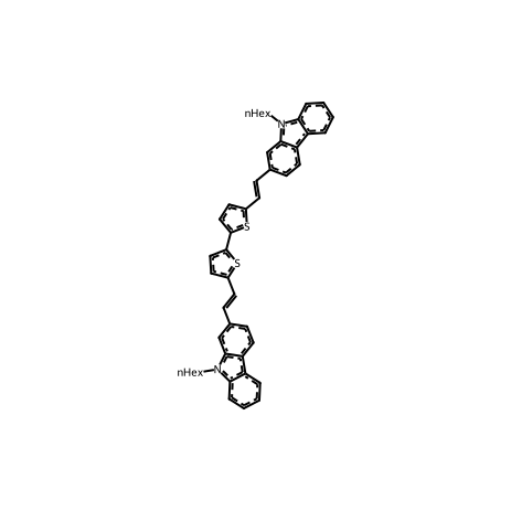 CCCCCCn1c2ccccc2c2ccc(/C=C/c3ccc(-c4ccc(/C=C/c5ccc6c7ccccc7n(CCCCCC)c6c5)s4)s3)cc21